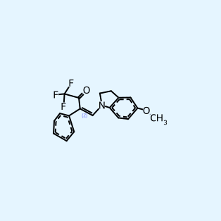 COc1ccc2c(c1)CCN2/C=C(\C(=O)C(F)(F)F)c1ccccc1